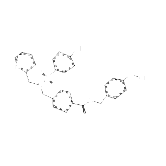 O=C(NCc1ccc(OC(F)(F)F)cc1)c1ccc(CN(Cc2ccccn2)S(=O)(=O)c2ccc(Cl)cc2)cc1